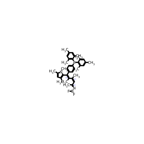 CC(=C/C(C)=N/B(F)F)/C(C)=C(\c1ccc(B(c2c(C)cc(C)cc2C)c2c(C)cc(C)cc2C)cc1)c1c(C)cc(C)n1C